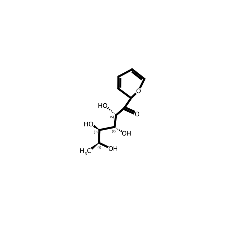 C[C@H](O)[C@@H](O)[C@@H](O)[C@H](O)C(=O)C1C=CC=CO1